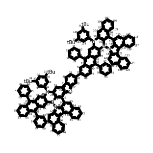 CC(C)(C)c1cc(N2c3cc4c(-c5ccccc5)c5cc(-c6ccc7c(c6)oc6c8c9c(cc67)N(c6cc(C(C)(C)C)cc(C(C)(C)C)c6)c6cc7c(-c%10ccccc%10)c%10ccccc%10c(-c%10ccccc%10)c7cc6B9n6c7ccc9ccccc9c7c7c9ccccc9cc-8c76)ccc5c(-c5ccccc5)c4cc3B3c4c2cc2ccccc2c4-c2cc4ccccc4c4c5c6ccccc6ccc5n3c24)cc(C(C)(C)C)c1